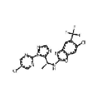 C[C@H](Nc1nc2cc(C(F)(F)F)c(Cl)cc2o1)c1ncnn1-c1ncc(Cl)cn1